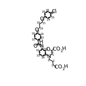 O=C(O)CCCN1CC(C(=O)O)Oc2c(NC(=O)c3ccc(OCCCOc4ccc(Cl)cc4)cc3)cccc21